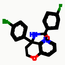 O=C(NC1(c2ccc(Br)cc2)CCOc2cccnc21)c1ccc(F)cc1